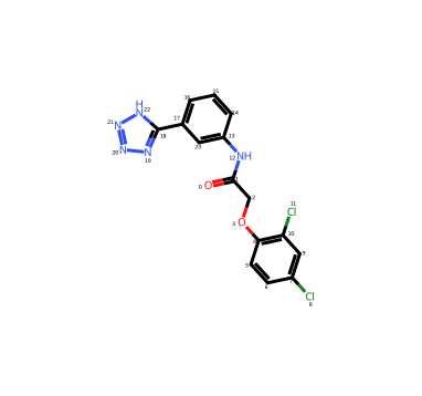 O=C(COc1ccc(Cl)cc1Cl)Nc1cccc(-c2nnn[nH]2)c1